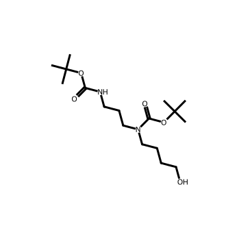 CC(C)(C)OC(=O)NCCCN(CCCCO)C(=O)OC(C)(C)C